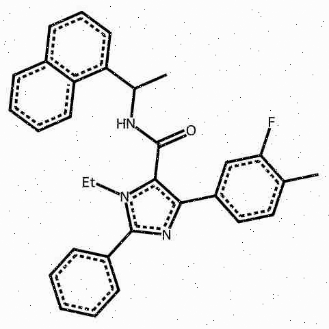 CCn1c(-c2ccccc2)nc(-c2ccc(C)c(F)c2)c1C(=O)NC(C)c1cccc2ccccc12